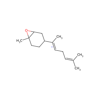 CC(C)=CC/C=C(\C)C1CCC2(C)OC2C1